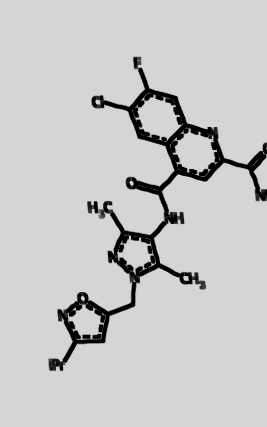 Cc1nn(Cc2cc(C(C)C)no2)c(C)c1NC(=O)c1cc(C(N)=O)nc2cc(F)c(Cl)cc12